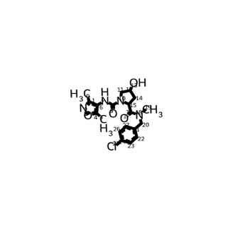 Cc1noc(C)c1NC(=O)N1CC(O)CC1C(=O)N(C)Cc1ccc(Cl)cc1